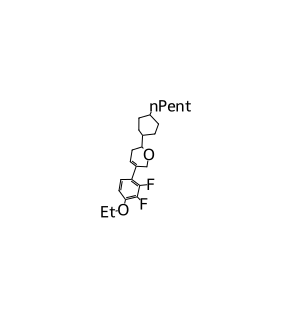 CCCCCC1CCC(C2CC=C(c3ccc(OCC)c(F)c3F)CO2)CC1